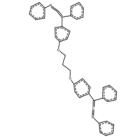 C(=Nc1ccccc1)=C(c1ccccc1)c1ccc(OCCCOc2ccc(C(=C=Nc3ccccc3)c3ccccc3)cc2)cc1